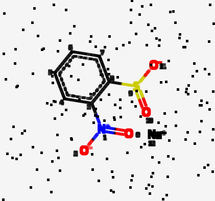 O=[N+]([O-])c1ccccc1S(=O)[O-].[Na+]